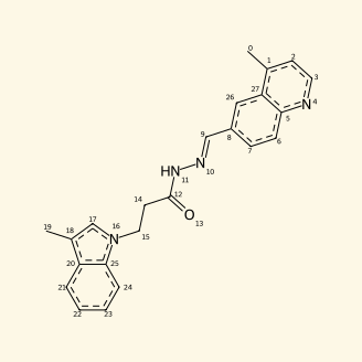 Cc1ccnc2ccc(/C=N/NC(=O)CCn3cc(C)c4ccccc43)cc12